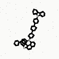 c1ccc(-c2ccc(N(c3ccc(-c4ccc(-c5ccc(-n6c7ccccc7c7ccccc76)cc5)cc4)cc3)c3cccc4ccc5oc6ccccc6c5c34)cc2)cc1